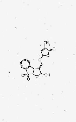 CC1=CC(O/C=C2/C(O)OC3C2c2ccccc2S3(=O)=O)OC1=O